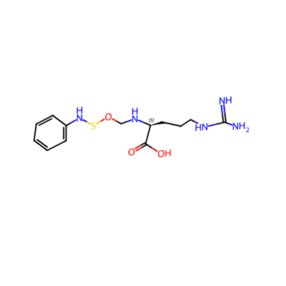 N=C(N)NCCC[C@H](NCOSNc1ccccc1)C(=O)O